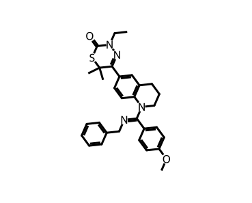 CCN1N=C(c2ccc3c(c2)CCCN3C(=NCc2ccccc2)c2ccc(OC)cc2)C(C)(C)SC1=O